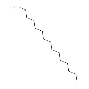 CCCCCCCCCCCCCCCCCCCCCC[S]